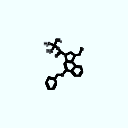 CC(C)(C)OC(=O)N1C[C@@H](CBr)c2c1cc(OCc1ccccc1)c1ccccc21